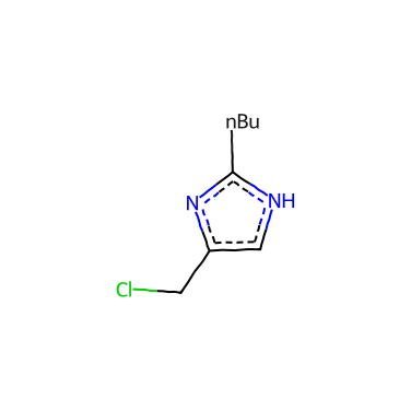 CCCCc1nc(CCl)c[nH]1